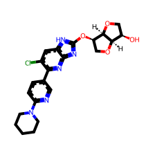 O[C@@H]1CO[C@H]2[C@@H]1OC[C@H]2Oc1nc2nc(-c3ccc(N4CCCCC4)nc3)c(Cl)cc2[nH]1